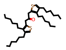 CCCCCCc1csc(CC(=O)Cc2scc(CCCCCC)c2CCCCCC)c1CCCCCC